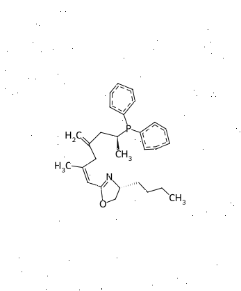 C=C(C/C(C)=C\C1=N[C@H](CCCC)CO1)C[C@H](C)P(c1ccccc1)c1ccccc1